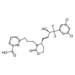 O=C(O)c1cccc(CCCN2C(=O)OCC[C@@H]2/C=C/[C@@H](O)C(F)(F)c2cc(Cl)cc(Cl)c2)n1